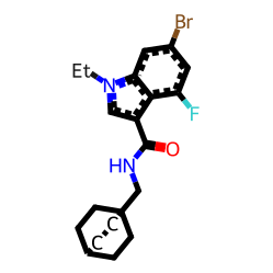 CCn1cc(C(=O)NCC23CCC(CC2)CC3)c2c(F)cc(Br)cc21